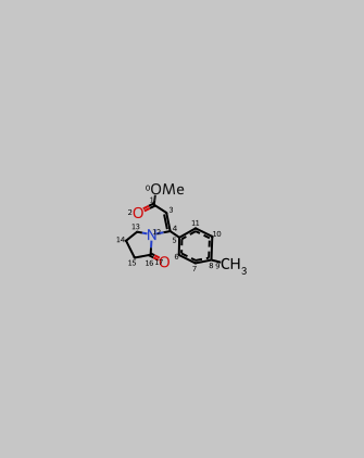 COC(=O)C=C(c1ccc(C)cc1)N1CCCC1=O